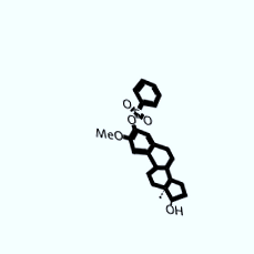 COc1cc2c(cc1OS(=O)(=O)c1ccccc1)CCC1C2CC[C@@]2(C)C1CC[C@@H]2O